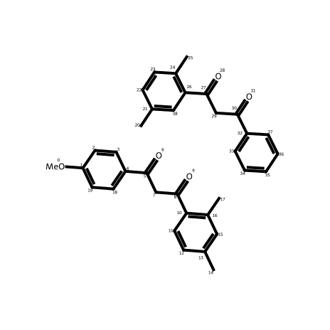 COc1ccc(C(=O)CC(=O)c2ccc(C)cc2C)cc1.Cc1ccc(C)c(C(=O)CC(=O)c2ccccc2)c1